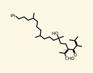 CC(C)=C(C)C(=O)/C(CCC(C)(O)CCCC(C)CCCC(C)CCCC(C)C)=C(/C)C=O